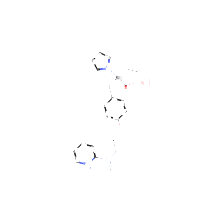 CCC[C@@](Cc1ccc(OCCN(C)c2ccccn2)cc1)(C(=O)O)n1cccc1